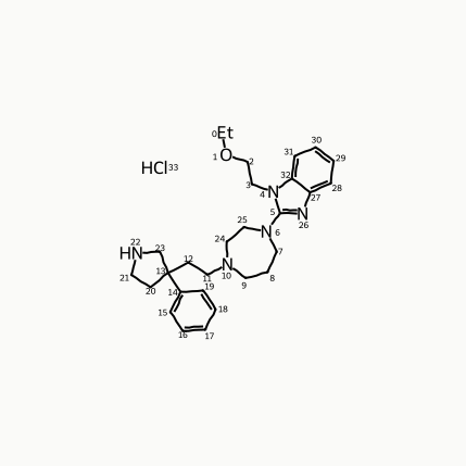 CCOCCn1c(N2CCCN(CCC3(c4ccccc4)CCNC3)CC2)nc2ccccc21.Cl